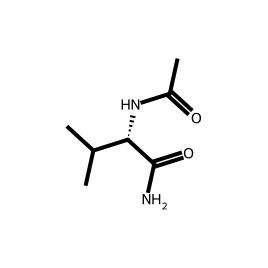 CC(=O)N[C@H](C(N)=O)C(C)C